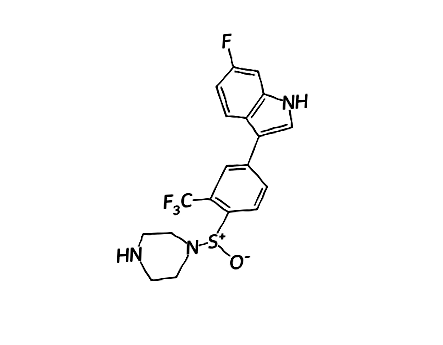 [O-][S+](c1ccc(-c2c[nH]c3cc(F)ccc23)cc1C(F)(F)F)N1CCNCC1